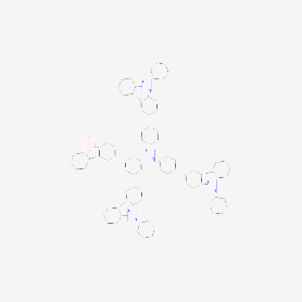 c1ccc(-n2c3ccccc3c3cc(-c4ccc(N(c5ccc(-c6ccc7c(c6)c6ccccc6n7-c6ccccc6)cc5)c5cc(-c6ccc7oc8ccccc8c7c6)cc(-c6ccc7c(c6)c6ccccc6n7-c6ccccc6)c5)cc4)ccc32)cc1